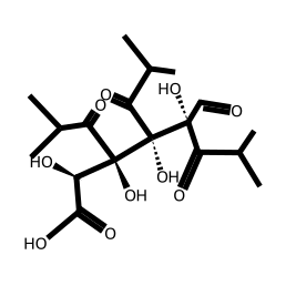 CC(C)C(=O)[C@@](O)([C@@](O)(C=O)C(=O)C(C)C)[C@@](O)(C(=O)C(C)C)[C@H](O)C(=O)O